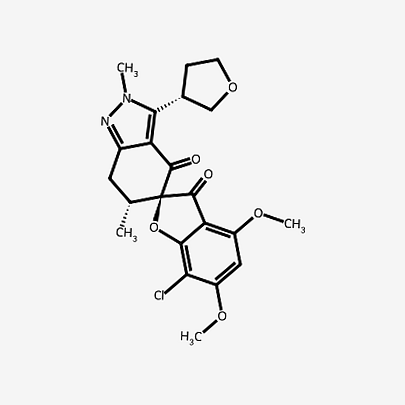 COc1cc(OC)c2c(c1Cl)O[C@]1(C2=O)C(=O)c2c(nn(C)c2[C@@H]2CCOC2)C[C@H]1C